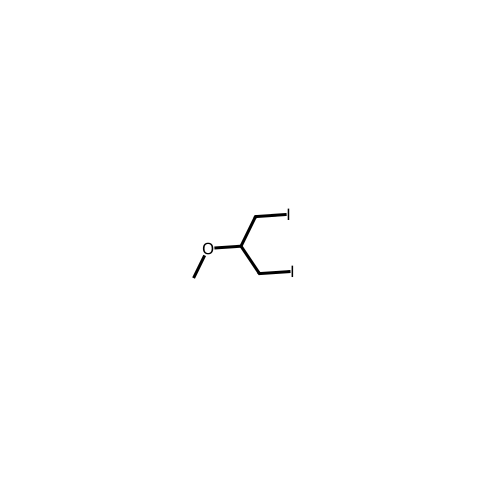 COC(CI)CI